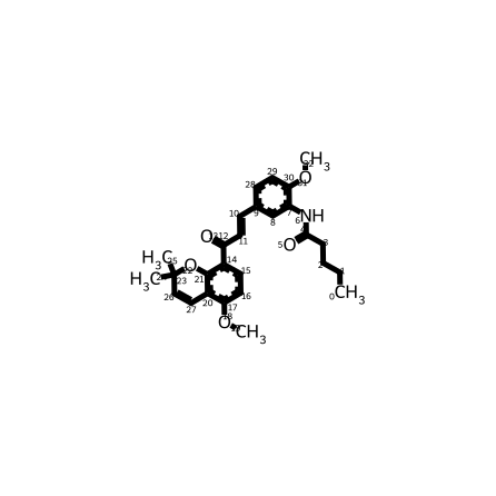 CCCCC(=O)Nc1cc(/C=C/C(=O)c2ccc(OC)c3c2OC(C)(C)C=C3)ccc1OC